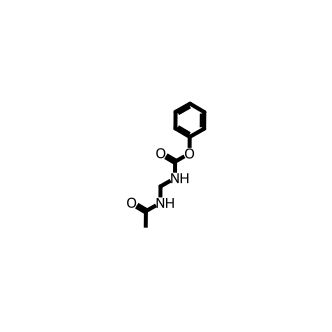 CC(=O)NCNC(=O)Oc1ccccc1